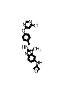 Cn1c(NCc2ccc(Oc3cc(Cl)ncn3)cc2)nc2ccc(NC3COC3)cc21